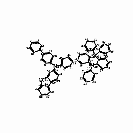 c1ccc(-c2ccc(N(c3ccc(-c4ccc5c(c4)N(c4ccccc4)c4ccccc4[Si]5(c4ccccc4)c4ccccc4)cc3)c3ccc4c(c3)oc3ccccc34)cc2)cc1